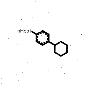 CCCCCCCc1ccc([C]2CCCCC2)cc1